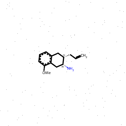 C=CC[C@H]1Cc2cccc(OC)c2C[C@H]1N